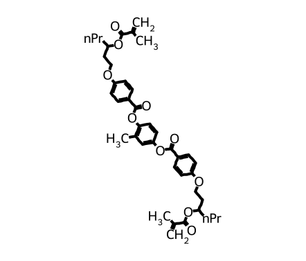 C=C(C)C(=O)OC(CCC)CCOc1ccc(C(=O)Oc2ccc(OC(=O)c3ccc(OCCC(CCC)OC(=O)C(=C)C)cc3)c(C)c2)cc1